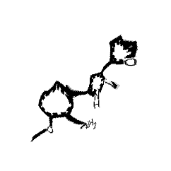 COc1cccc(-c2cc(-c3ccco3)n[nH]2)c1N